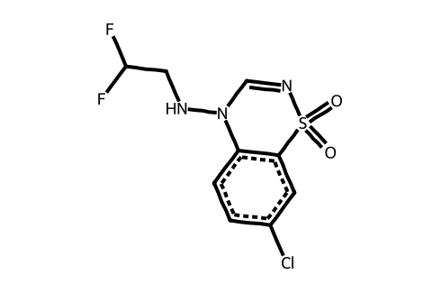 O=S1(=O)N=CN(NCC(F)F)c2ccc(Cl)cc21